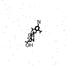 CC(C)c1cc(C#N)cc(C(C)C)c1CC(=O)N[S+]([O-])c1ncc(C(C)O)s1